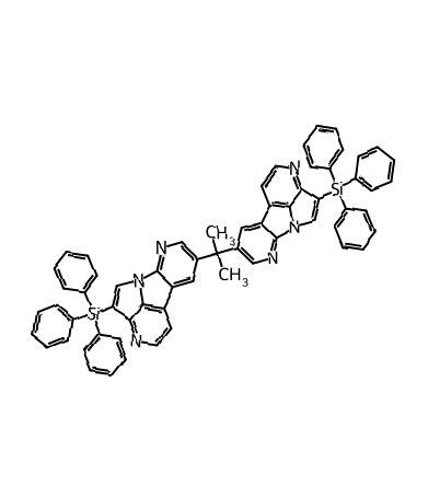 CC(C)(c1cnc2c(c1)c1ccnc3c([Si](c4ccccc4)(c4ccccc4)c4ccccc4)cn2c31)c1cnc2c(c1)c1ccnc3c([Si](c4ccccc4)(c4ccccc4)c4ccccc4)cn2c31